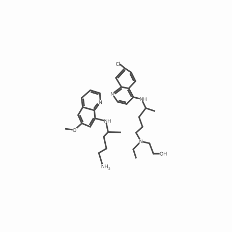 CCN(CCO)CCCC(C)Nc1ccnc2cc(Cl)ccc12.COc1cc(NC(C)CCCN)c2ncccc2c1